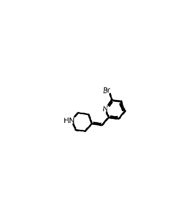 Brc1cccc(C=C2CCNCC2)n1